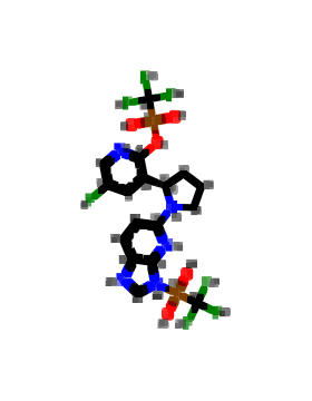 O=S(=O)(Oc1ncc(F)cc1[C@H]1CCCN1c1ccc2ncn(S(=O)(=O)C(F)(F)F)c2n1)C(F)(F)F